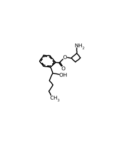 CCCCC(O)c1ccccc1C(=O)OC1CCC1N